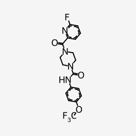 O=C(Nc1ccc(OC(F)(F)F)cc1)N1CCN(C(=O)c2cccc(F)n2)CC1